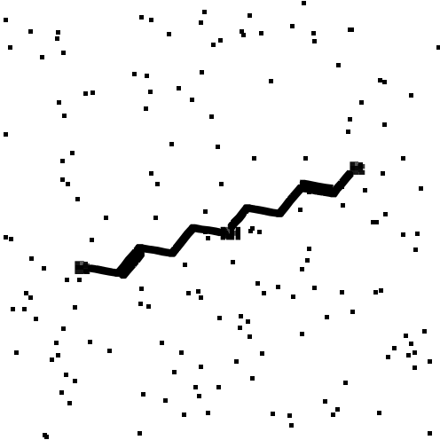 CCC=CCCNCCC=CCC